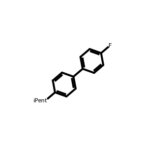 [CH2]CCC(C)c1ccc(-c2ccc(F)cc2)cc1